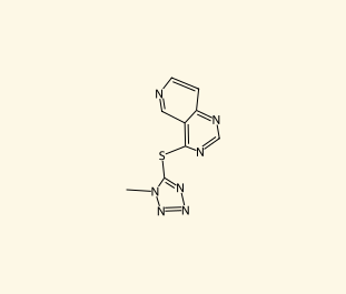 Cn1nnnc1Sc1ncnc2ccncc12